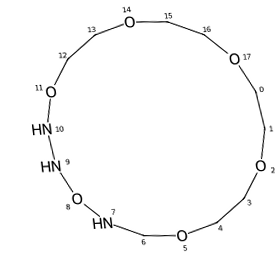 C1COCCOCNONNOCCOCCO1